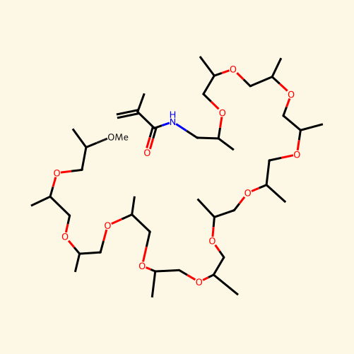 C=C(C)C(=O)NCC(C)OCC(C)OCC(C)OCC(C)OCC(C)OCC(C)OCC(C)OCC(C)OCC(C)OCC(C)OCC(C)OCC(C)OC